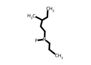 CCCN(F)CCC(C)CC